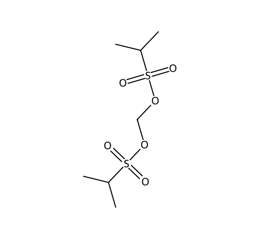 CC(C)S(=O)(=O)OCOS(=O)(=O)C(C)C